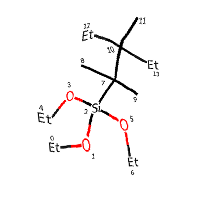 CCO[Si](OCC)(OCC)C(C)(C)C(C)(CC)CC